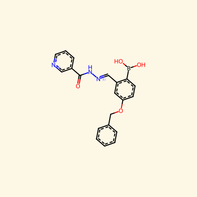 O=C(N/N=C/c1cc(OCc2ccccc2)ccc1B(O)O)c1cccnc1